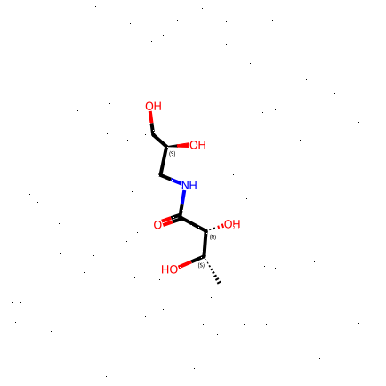 C[C@H](O)[C@@H](O)C(=O)NC[C@H](O)CO